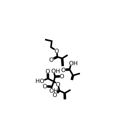 C=C(C)C(=O)O.C=C(C)C(=O)OC(C(=O)O)(C(=O)O)C(=O)O.C=C(C)C(=O)OCCC